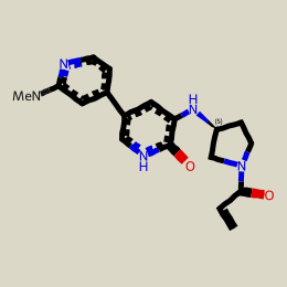 C=CC(=O)N1CC[C@H](Nc2cc(-c3ccnc(NC)c3)c[nH]c2=O)C1